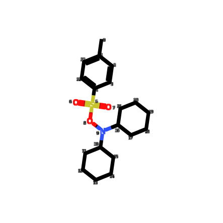 Cc1ccc(S(=O)(=O)ON(C2CCCCC2)C2CCCCC2)cc1